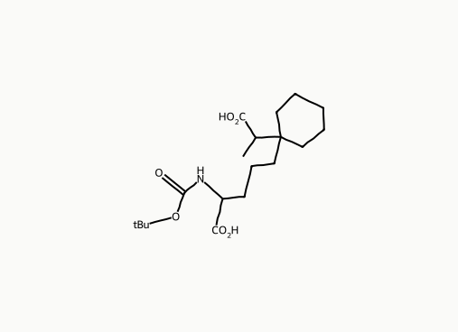 CC(C(=O)O)C1(CCCC(NC(=O)OC(C)(C)C)C(=O)O)CCCCC1